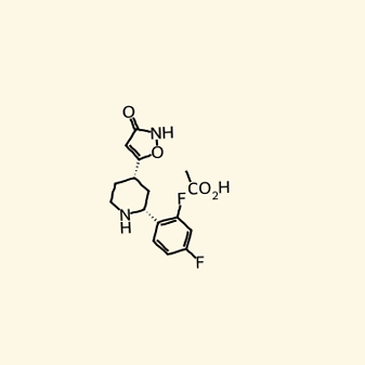 CC(=O)O.O=c1cc([C@H]2CCN[C@@H](c3ccc(F)cc3F)C2)o[nH]1